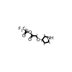 O=C(CO[C@H]1CCNC1)OC(=O)C(F)(F)F